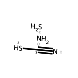 N.N#CS.S